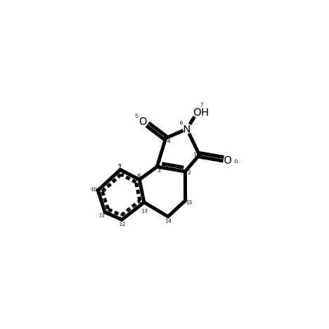 O=C1C2=C(C(=O)N1O)c1ccccc1CC2